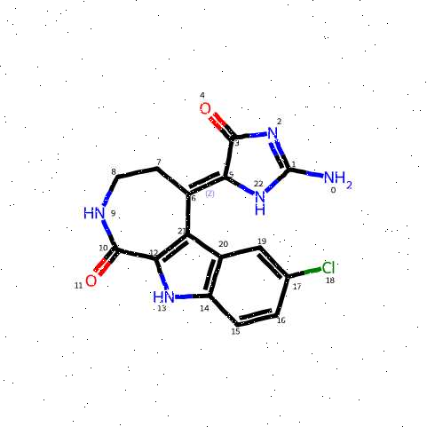 NC1=NC(=O)/C(=C2\CCNC(=O)c3[nH]c4ccc(Cl)cc4c32)N1